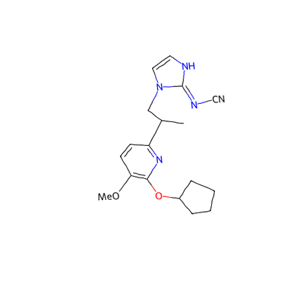 COc1ccc(C(C)Cn2cc[nH]/c2=N\C#N)nc1OC1CCCC1